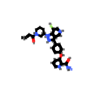 C=CC(=O)N1CCC[C@@H](n2nc(-c3ccc(Oc4cccnc4C(N)=O)cc3)c3cncc(F)c32)C1